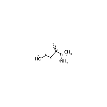 C[C@H](N)C(=O)CCO